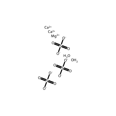 O.O.O=S(=O)([O-])[O-].O=S(=O)([O-])[O-].O=S(=O)([O-])[O-].[Ca+2].[Ca+2].[Mg+2]